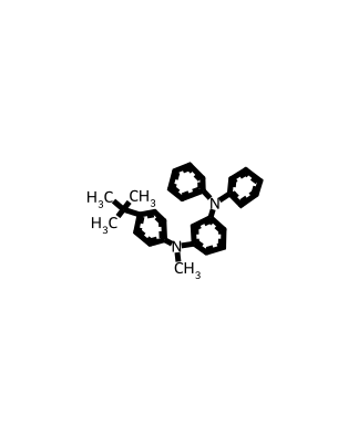 CN(c1ccc(C(C)(C)C)cc1)c1cccc(N(c2ccccc2)c2ccccc2)c1